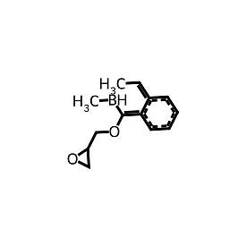 CB/C(OCC1CO1)=c1/cccc/c1=C/C